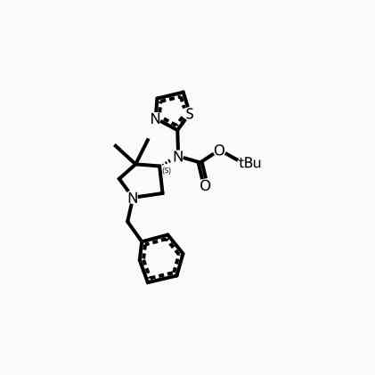 CC(C)(C)OC(=O)N(c1nccs1)[C@@H]1CN(Cc2ccccc2)CC1(C)C